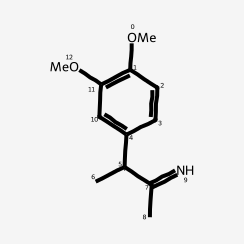 COc1ccc([C](C)C(C)=N)cc1OC